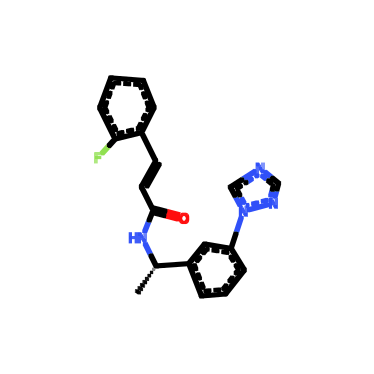 C[C@H](NC(=O)C=Cc1ccccc1F)c1cccc(-n2cncn2)c1